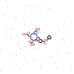 O=C(O)CN1CCN(CC(=O)O)CCN(Cc2cc(C(=O)OCc3ccccc3)cc[n+]2[O-])CCN(CC(=O)O)CC1